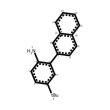 CC(C)(C)c1ccc(N)c(-c2ccc3ccccc3c2)c1